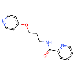 O=C(NCCCOc1ccncc1)c1ccccn1